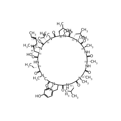 C/C=C/C[C@@H](C)[C@@H](O)[C@H]1C(=O)N[C@@H](CC)C(=O)N(C)CC(=O)N(C)C(Cc2ccc(O)cc2)C(=O)N[C@@H](CC(C)C)C(=O)N(C)[C@@H](C)C(=O)N[C@@H](C)C(=O)N[C@H](C)C(=O)N(C)[C@@H](CC(C)C)C(=O)N(C)[C@H](CC(C)C)C(=O)N(C)[C@@H](C(C)C)C(=O)N1C